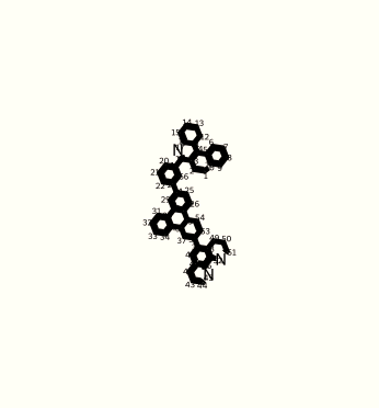 C/C=C\C1=C(c2ccccc2)C2CC=CC=C2N=C1c1cccc(-c2ccc3c(c2)-c2ccccc2C2C=C(c4cc5cccnc5c5c4CCC=N5)C=CC32)c1